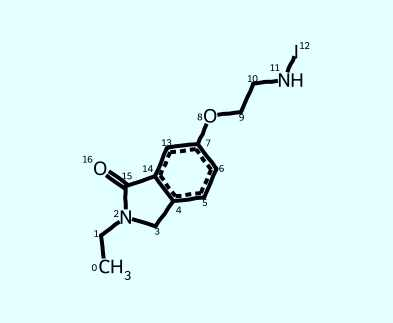 CCN1Cc2ccc(OCCNI)cc2C1=O